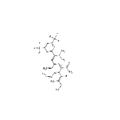 C=CN(\C=C(C(N)=O)/C(=C/C=C\C)C(/F)=C(\C)CC)/N=C(/c1cc(C(F)(F)F)cc(C(F)(F)F)c1)C(C)C